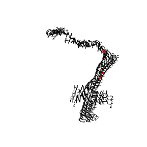 CC(=O)[O-].CC(=O)[O-].CC(=O)[O-].CC(=O)[O-].CC(=O)[O-].CC(=O)[O-].CC(=O)[O-].CC(=O)[O-].CC(=O)[O-].CC(=O)[O-].CC(=O)[O-].CC(=O)[O-].CC(=O)[O-].CC(=O)[O-].CC(=O)[O-].CC(=O)[O-].CC(=O)[O-].CC(=O)[O-].CC(=O)[O-].CC(=O)[O-].NCCNCCN.NCCNCCN.NCCNCCN.NCCNCCN.[Ca+2].[Ca+2].[Ca+2].[Ca+2].[Ca+2].[Na+].[Na+].[Na+].[Na+].[Na+].[Na+].[Na+].[Na+].[Na+].[Na+]